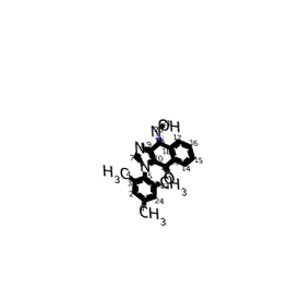 Cc1cc(C)c(-n2cnc3c2C(=O)c2ccccc2/C3=N\O)c(C)c1